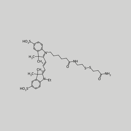 CCN1/C(=C/C=C/C2=[N+](CCCCCC(=O)NCCSSCCC(N)=O)c3ccc(S(=O)(=O)O)cc3C2(C)C)C(C)(C)c2cc(S(=O)(=O)O)ccc21